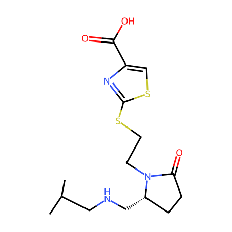 CC(C)CNC[C@H]1CCC(=O)N1CCSc1nc(C(=O)O)cs1